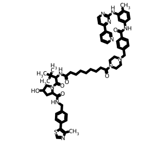 Cc1ccc(NC(=O)c2ccc(CN3CCN(C(=O)CCCCCCCC(=O)NC(C(=O)N4CC(O)CC4C(=O)NCc4ccc(-c5scnc5C)cc4)C(C)(C)C)CC3)cc2)cc1Nc1nccc(-c2cccnc2)n1